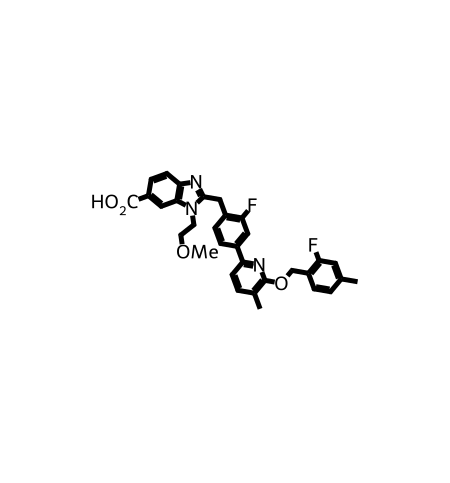 COCCn1c(Cc2ccc(-c3ccc(C)c(OCc4ccc(C)cc4F)n3)cc2F)nc2ccc(C(=O)O)cc21